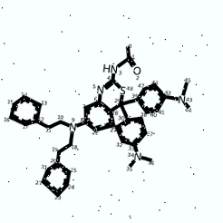 CC(=O)NC1=Nc2cc(N(CCc3ccccc3)CCc3ccccc3)ccc2C(c2ccc(N(C)C)cc2)(c2ccc(N(C)C)cc2)S1